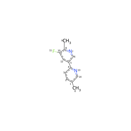 Cc1ccc(-c2cnc(C)c(F)c2)nc1